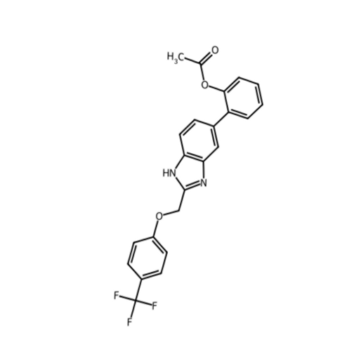 CC(=O)Oc1ccccc1-c1ccc2[nH]c(COc3ccc(C(F)(F)F)cc3)nc2c1